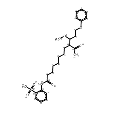 COC(CCOc1ccccc1)C(CCCCCCCC(=O)Nc1ccccc1S(=O)(=O)O)C(C)=O